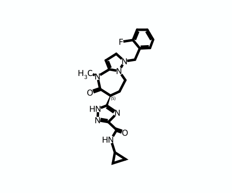 CN1C(=O)[C@H](c2nc(C(=O)NC3CC3)n[nH]2)CCN2C1=CCN2Cc1ccccc1F